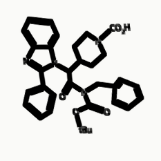 CC(C)(C)OC(=O)N(Cc1ccccc1)C(=O)C(C1CCN(C(=O)O)CC1)n1c(-c2ccccc2)nc2ccccc21